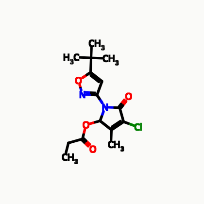 CCC(=O)OC1C(C)=C(Cl)C(=O)N1c1cc(C(C)(C)C)on1